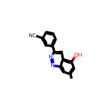 Cc1cc(O)c2cc(-c3cccc(C#N)c3)nnc2c1